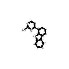 Clc1nccc(-c2cccc3c2sc2ccccc23)n1